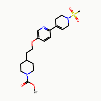 CC(C)OC(=O)N1CCC(CCOc2ccc(C3=CCN(S(C)(=O)=O)CC3)nc2)CC1